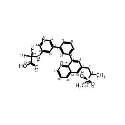 CC(Cc1cc(-c2cccc(-c3cncc(SC(F)(F)C(=O)O)c3)c2)c2ncccc2c1)S(C)(=O)=O